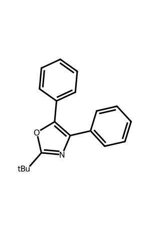 CC(C)(C)c1nc(-c2ccccc2)c(-c2ccccc2)o1